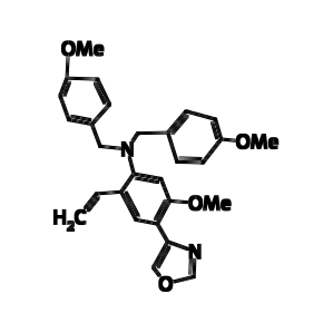 C=Cc1cc(-c2cocn2)c(OC)cc1N(Cc1ccc(OC)cc1)Cc1ccc(OC)cc1